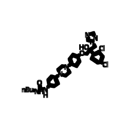 CCCCNC(=O)Nc1ccc(N2CCN(c3ccc(OCC(O)(Cn4cncn4)c4ccc(Cl)cc4Cl)cc3)CC2)cc1